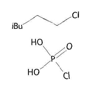 CCC(C)CCCl.O=P(O)(O)Cl